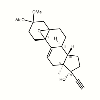 C#C[C@]1(O)CC[C@H]2[C@@H]3CCC45CC(OC)(OC)CC[C@]4(O5)C3=CC[C@@]21C